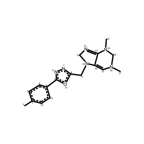 Cc1ccc(-c2nnc(CN3CN=C4C3=CN(C)CN4C)o2)cc1